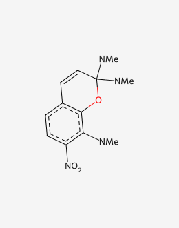 CNc1c([N+](=O)[O-])ccc2c1OC(NC)(NC)C=C2